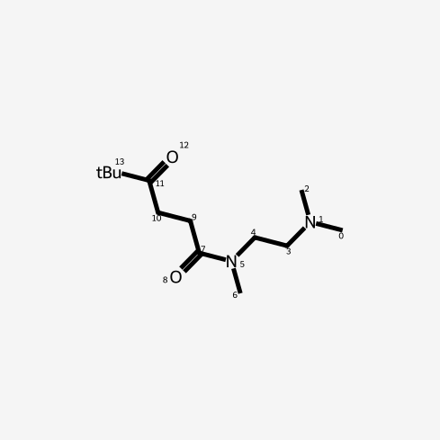 CN(C)CCN(C)C(=O)CCC(=O)C(C)(C)C